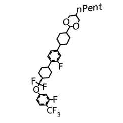 CCCCCC1COC(C2CCC(c3ccc(C4CCC(C(F)(F)Oc5ccc(C(F)(F)F)c(F)c5)CC4)c(F)c3)CC2)OC1